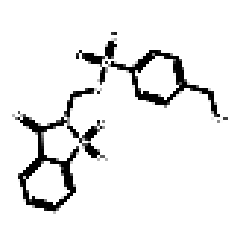 O=C1c2ccccc2S(=O)(=O)N1CSS(=O)(=O)c1ccc(CO)cc1